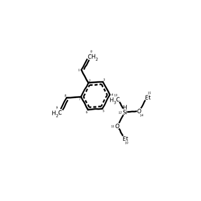 C=Cc1ccccc1C=C.CCO[SiH](C)OCC